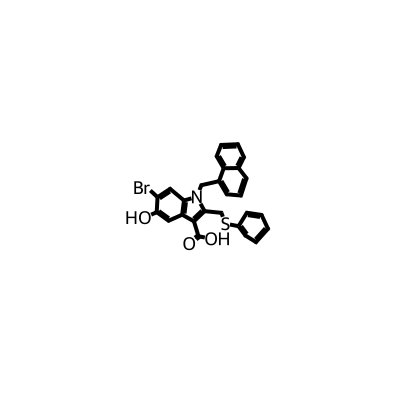 O=C(O)c1c(CSc2ccccc2)n(Cc2cccc3ccccc23)c2cc(Br)c(O)cc12